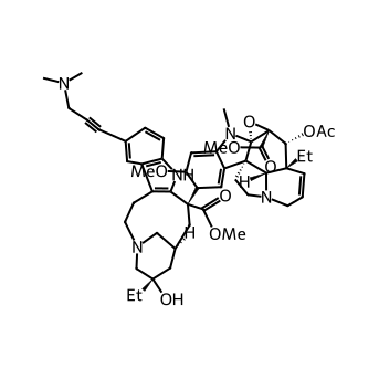 CC[C@]1(O)C[C@H]2CN(CCc3c([nH]c4ccc(C#CCN(C)C)cc34)[C@@](C(=O)OC)(C3C=C4C(=CC3OC)N(C)[C@@]35O[C@]3(C(=O)OC)[C@H](OC(C)=O)[C@]3(CC)C=CCN6CC[C@]45[C@@H]63)C2)C1